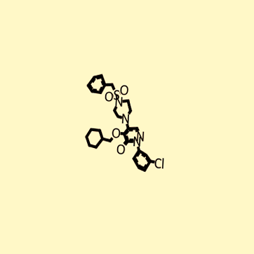 O=c1c(OCC2CCCCC2)c(N2CCN(S(=O)(=O)Cc3ccccc3)CC2)cnn1-c1cccc(Cl)c1